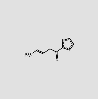 O=C(O)/C=C/CC(=O)c1cccs1